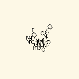 Cc1ncnn1-c1cc(F)ccc1CNC(=O)c1nc2n(c(=O)c1O)CCOC21CCN(C(=O)OCc2ccccc2)CC1